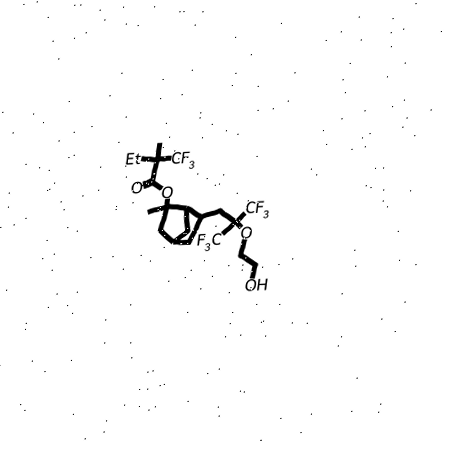 CCC(C)(C(=O)OC1(C)CC2CC(CC(OCCO)(C(F)(F)F)C(F)(F)F)C1C2)C(F)(F)F